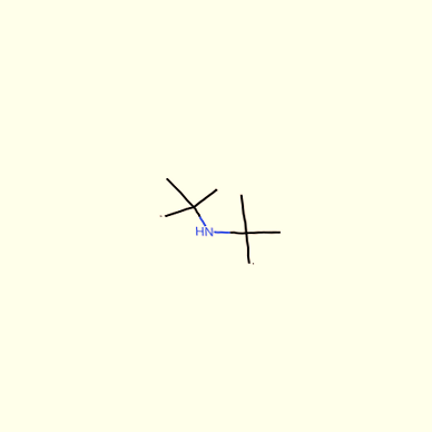 [CH2]C(C)(C)NC([CH2])(C)C